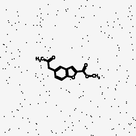 COC(=O)c1cc2cc(CC(C)=O)ccc2o1